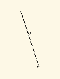 CCCCCCCCC=CCCCCCCCCCCCCCC(=O)OCCCCCCCCCCCCCCCCCCCCCCCCCCCCCCCC(C)CC